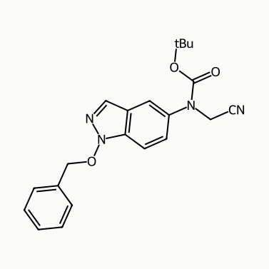 CC(C)(C)OC(=O)N(CC#N)c1ccc2c(cnn2OCc2ccccc2)c1